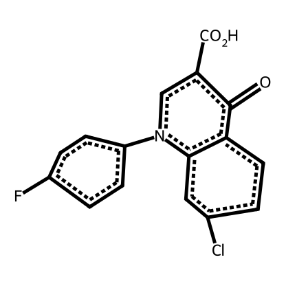 O=C(O)c1cn(-c2ccc(F)cc2)c2cc(Cl)ccc2c1=O